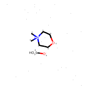 C[N+]1(C)CCOCC1.O=S(=O)([O-])O